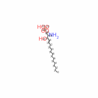 CCCCCCCCCCCCCC=CC(O)C(N)COS(=O)(=O)O